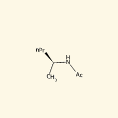 CCC[C@H](C)NC(C)=O